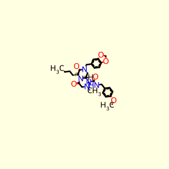 CCCC[C@H]1C(=O)N(Cc2ccc3c(c2)OCO3)C[C@H]2N1C(=O)CN(C)N2C(=O)NCc1ccc(OC)cc1